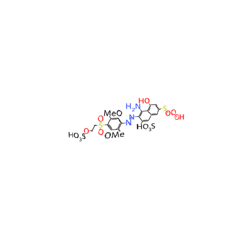 COc1cc(S(=O)(=O)CCOS(=O)(=O)O)c(OC)cc1/N=N/c1c(S(=O)(=O)O)cc2cc(SOOO)cc(O)c2c1N